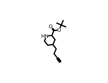 C#CCCC1CCNC(C(=O)OC(C)(C)C)C1